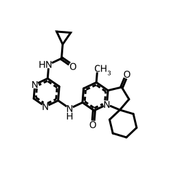 Cc1cc(Nc2cc(NC(=O)C3CC3)ncn2)c(=O)n2c1C(=O)CC21CCCCC1